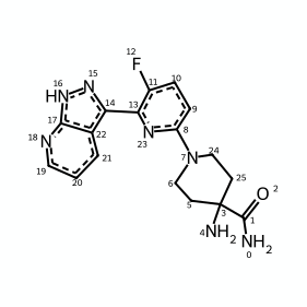 NC(=O)C1(N)CCN(c2ccc(F)c(-c3n[nH]c4ncccc34)n2)CC1